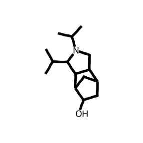 CC(C)C1C2C3CC(CC3O)C2CN1C(C)C